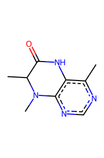 Cc1ncnc2c1NC(=O)C(C)N2C